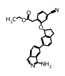 CCOC(=O)Cc1ccc(C#N)cc1OC1CCc2ccc(-c3ccc4ccnc(N)c4c3)cc21